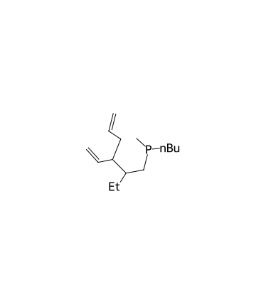 C=CCC(C=C)C(CC)CP(C)CCCC